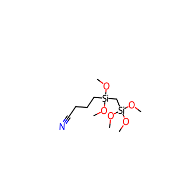 CO[Si](CCCC#N)(C[Si](OC)(OC)OC)OC